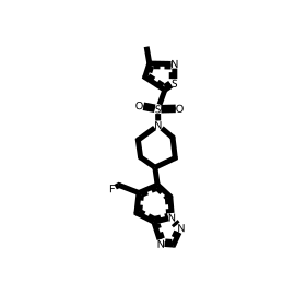 Cc1cc(S(=O)(=O)N2CCC(c3cn4ncnc4cc3CF)CC2)sn1